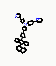 c1ccc(-c2ccc(N(c3ccc(-c4ccc(-c5c6ccccc6c(-c6cccc7ccccc67)c6ccccc56)cc4)cc3)c3ccc(-c4cccnc4)cc3)cc2)nc1